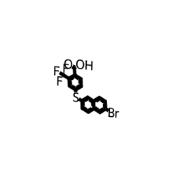 O=C(O)c1ccc(Sc2ccc3cc(Br)ccc3c2)cc1C(F)(F)F